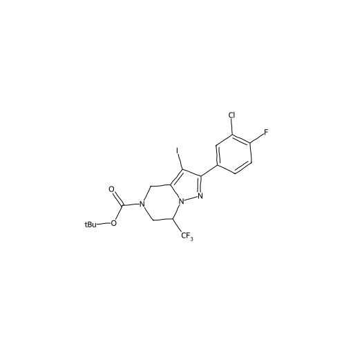 CC(C)(C)OC(=O)N1Cc2c(I)c(-c3ccc(F)c(Cl)c3)nn2C(C(F)(F)F)C1